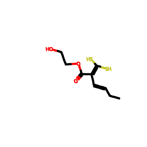 CCC=CC(C(=O)OCCO)=C(S)S